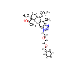 CCOC(=O)CC(c1ccc(C)c([C@H](C)O)c1)c1ccc2c(nnn2CCOCCOCc2ccccc2)c1C